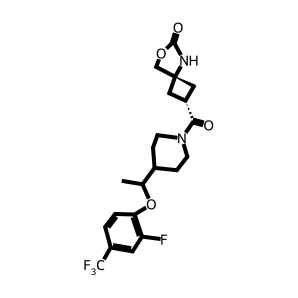 CC(Oc1ccc(C(F)(F)F)cc1F)C1CCN(C(=O)[C@H]2C[C@]3(COC(=O)N3)C2)CC1